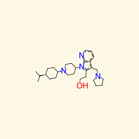 CC(C)[C@H]1CC[C@@H](N2CCC(n3c(CCO)c(CN4CCCC4)c4cccnc43)CC2)CC1